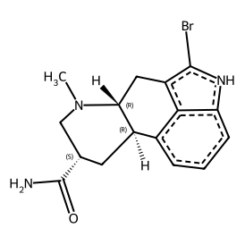 CN1C[C@@H](C(N)=O)C[C@@H]2c3cccc4[nH]c(Br)c(c34)C[C@H]21